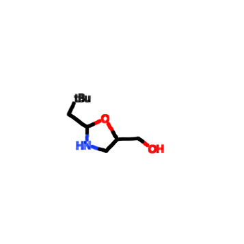 CC(C)(C)CC1NCC(CO)O1